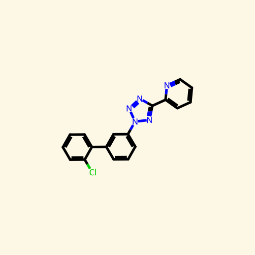 Clc1ccccc1-c1cccc(-n2nnc(-c3ccccn3)n2)c1